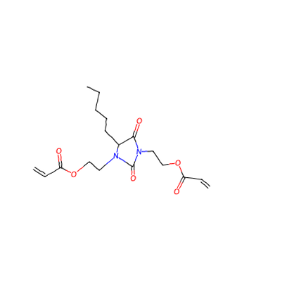 C=CC(=O)OCCN1C(=O)C(CCCCC)N(CCOC(=O)C=C)C1=O